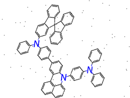 c1ccc(N(c2ccccc2)c2ccc(N3c4ccc(-c5ccc(N(c6ccccc6)c6ccc7c(c6)C6(c8ccccc8-c8ccccc86)c6ccccc6-7)cc5)cc4-c4cccc5cccc3c45)cc2)cc1